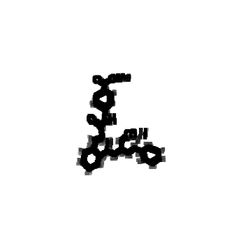 COC(=O)c1ccc(NC(=O)CCC2CCCCC2NCC(CCc2ccccc2)CC(=O)O)cc1